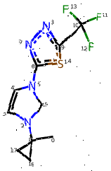 CC1(N2C=CN(c3nnc(C(F)(F)F)s3)C2)CC1